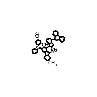 CC1=Cc2c(-c3cc4ccccc4c4ccccc34)cccc2C1c1c(C)c(=[Si](c2ccccc2)c2ccccc2)cc2c1=[C]([Zr+2])c1cc(C)ccc1-2.[Cl-].[Cl-]